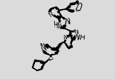 c1cc(-c2ccoc2)c2nc(-c3n[nH]c4ccc(-c5cncc(OC6CCCCC6)c5)nc34)[nH]c2n1